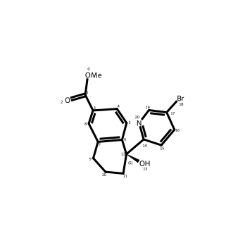 COC(=O)c1ccc2c(c1)CCC[C@@]2(O)c1ccc(Br)cn1